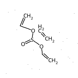 C=C.C=COS(=O)OC=C